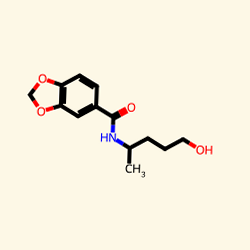 CC(CCCO)NC(=O)c1ccc2c(c1)OCO2